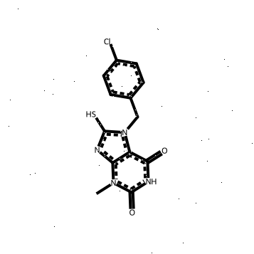 Cn1c(=O)[nH]c(=O)c2c1nc(S)n2Cc1ccc(Cl)cc1